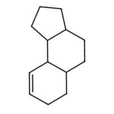 C1=CC2C(CC1)CCC1CCCC12